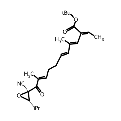 C\C=C(/C=C(C)/C=C/CC/C=C(\C)C(=O)[C@]1(C#N)O[C@H]1C(C)C)C(=O)OC(C)(C)C